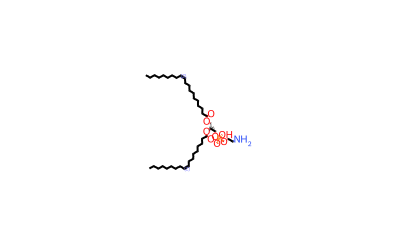 CCCCCCCC/C=C\CCCCCCCCCC(=O)OC[C@H](COP(=O)(O)OCCN)OC(=O)CCCCCCC/C=C\CCCCCCCC